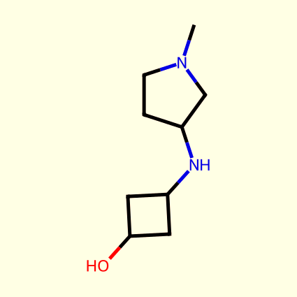 CN1CCC(NC2CC(O)C2)C1